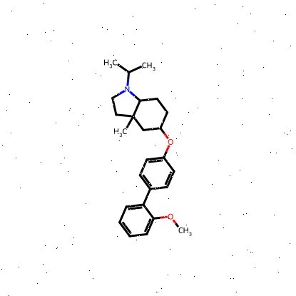 COc1ccccc1-c1ccc(OC2CCC3N(C(C)C)CCC3(C)C2)cc1